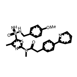 COc1ccc(CNS(=N)(=O)c2sc(N(C)C(=O)Cc3ccc(-c4ccccn4)cc3)nc2C)cc1